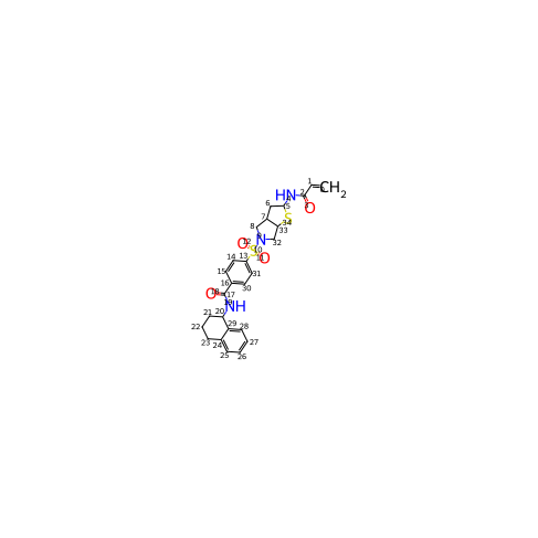 C=CC(=O)NC1CC2CN(S(=O)(=O)c3ccc(C(=O)NC4CCCc5ccccc54)cc3)CC2S1